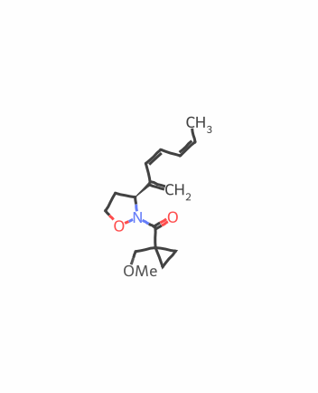 C=C(/C=C\C=C/C)[C@@H]1CCON1C(=O)C1(COC)CC1